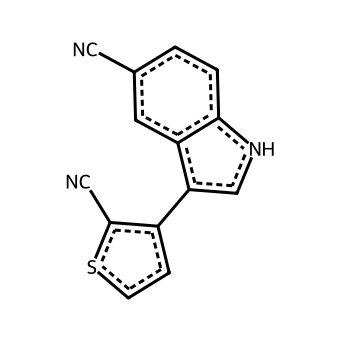 N#Cc1ccc2[nH]cc(-c3ccsc3C#N)c2c1